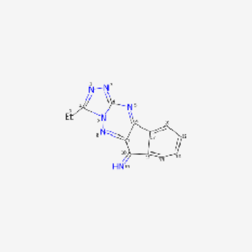 CCc1nnc2nc3c(nn12)C(=N)c1ccccc1-3